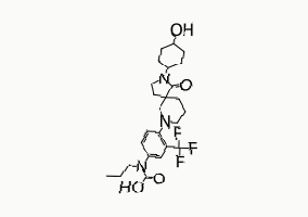 CCCN(C(=O)O)c1ccc(N2CCCC3(CCN(C4CCC(O)CC4)C3=O)C2)c(C(F)(F)F)c1